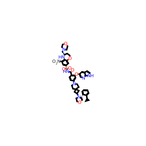 O=C(NS(=O)(=O)c1cc2c(c([N+](=O)[O-])c1)N[C@@H](CN1CCOCC1)CCO2)c1ccc(N2CCC3(CC2)CC(N2CCOC[C@H]2c2ccccc2C2CC2)C3)cc1Oc1cnc2[nH]ccc2c1